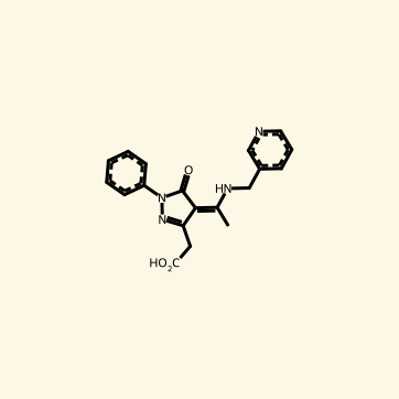 C/C(NCc1cccnc1)=C1/C(=O)N(c2ccccc2)N=C1CC(=O)O